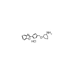 Cl.NC1CCCC(OCc2ccc(-c3nc4ccccc4o3)cc2)C1